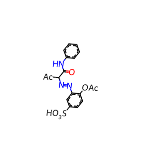 CC(=O)Oc1ccc(S(=O)(=O)O)cc1N=NC(C(C)=O)C(=O)Nc1ccccc1